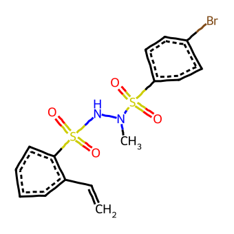 C=Cc1ccccc1S(=O)(=O)NN(C)S(=O)(=O)c1ccc(Br)cc1